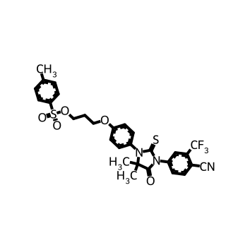 Cc1ccc(S(=O)(=O)OCCCOc2ccc(N3C(=S)N(c4ccc(C#N)c(C(F)(F)F)c4)C(=O)C3(C)C)cc2)cc1